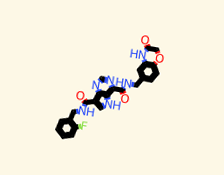 O=C1COc2ccc(CNC(=O)c3ncnc4c(C(=O)NCc5ccccc5F)c[nH]c34)cc2N1